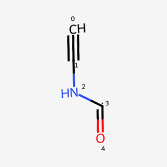 C#CN[C]=O